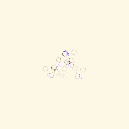 N#Cc1c(-n2c3cc(-c4cccnc4-c4ccccc4)ccc3c3ccc(-c4cccnc4-c4ccccc4)cc32)ccc(-c2c(C(F)(F)F)cccc2C(F)(F)F)c1-n1c2cc(-c3cccnc3-c3ccccc3)ccc2c2ccc(-c3cccnc3-c3ccccc3)cc21